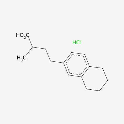 CC(CCc1ccc2c(c1)CCCC2)C(=O)O.Cl